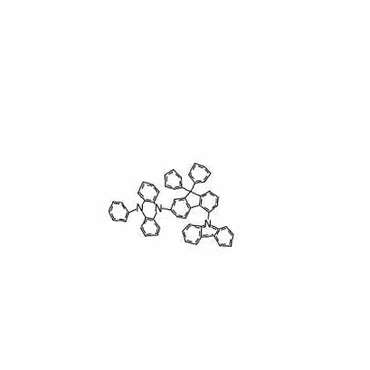 c1ccc(N2c3ccccc3N(c3ccc4c(c3)C(c3ccccc3)(c3ccccc3)c3cccc(-n5c6ccccc6c6ccccc65)c3-4)c3ccccc32)cc1